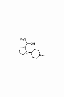 CNC(O)N1CCC[C@@H]1C1CCN(C)CC1